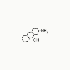 Cl.NC1C=CC2=CC3CCCCN3CC2C1